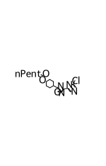 CCCCCC(=O)OC1CCC(c2nc(-c3cncc(Cl)n3)no2)CC1